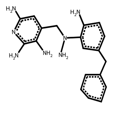 Nc1cc(CN(N)c2cc(Cc3ccccc3)ccc2N)c(N)c(N)n1